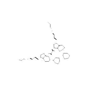 C[C@]12CC[C@H](C3CCCCC3)C[C@@]1(OC(=O)C(=O)O[C@]13CC[C@H](C=CC=NOCCN)[C@@]1(C)CC[C@H](C1CCCCC1)C3)CC[C@@H]2C=CC=NOCCN